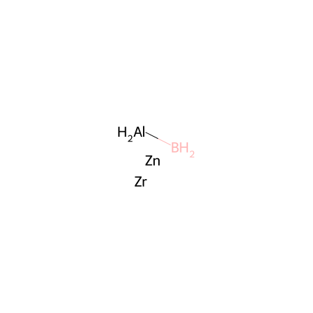 [BH2][AlH2].[Zn].[Zr]